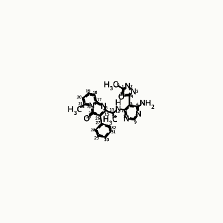 Cc1nnc(-c2c(N)ncnc2NC(C)c2nc3cccc(C)n3c(=O)c2-c2ccccc2)o1